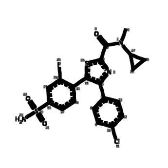 CN(C(=O)c1nc(-c2ccc(Cl)cc2)c(-c2ccc(S(N)(=O)=O)cc2F)s1)C1CC1